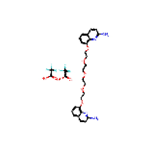 Nc1ccc2cccc(OCCOCCOCCOCCOc3cccc4ccc(N)nc34)c2n1.O=C(O)C(F)(F)F.O=C(O)C(F)(F)F